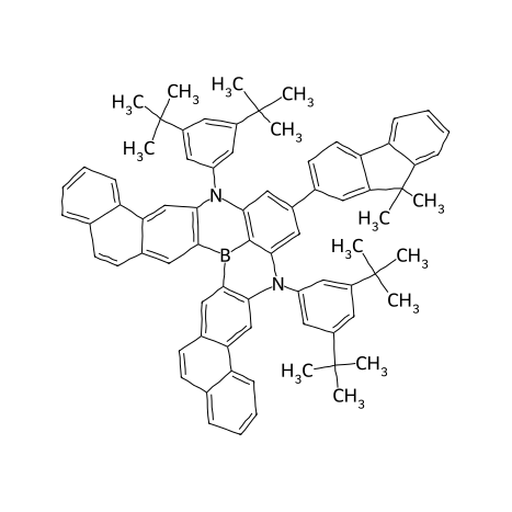 CC(C)(C)c1cc(N2c3cc4c(ccc5ccccc54)cc3B3c4cc5ccc6ccccc6c5cc4N(c4cc(C(C)(C)C)cc(C(C)(C)C)c4)c4cc(-c5ccc6c(c5)C(C)(C)c5ccccc5-6)cc2c43)cc(C(C)(C)C)c1